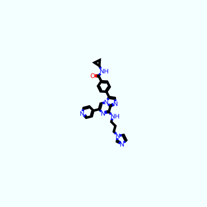 O=C(NC1CC1)c1ccc(-c2cnc3c(NCCCn4ccnc4)nc(-c4ccncc4)cn23)cc1